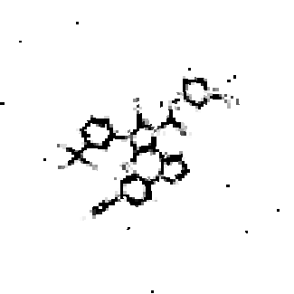 Cc1c(-c2ccnn2-c2ccc(C#N)cc2)n(C(=O)N[C@H]2CCN(C)C2)c(=O)n1-c1cccc(C(F)(F)F)c1